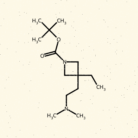 CCC1(CCN(C)C)CN(C(=O)OC(C)(C)C)C1